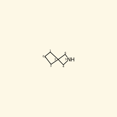 [CH]1CC2(C1)CNC2